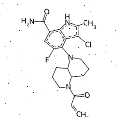 C=CC(=O)N1CCCC2C1CCCN2c1c(F)cc(C(N)=O)c2[nH]c(C)c(Cl)c12